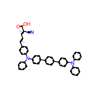 N#C/C(=C\C=C\c1ccc(N(c2ccccc2)c2ccc(-c3ccc(-c4ccc(N(c5ccccc5)c5ccccc5)cc4)cc3)cc2)cc1)C(=O)O